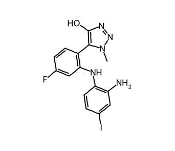 Cn1nnc(O)c1-c1ccc(F)cc1Nc1ccc(I)cc1N